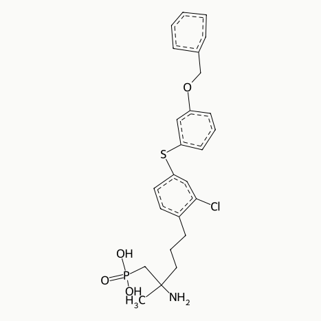 CC(N)(CCCc1ccc(Sc2cccc(OCc3ccccc3)c2)cc1Cl)CP(=O)(O)O